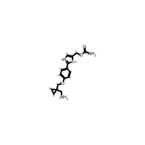 NCC1(COc2ccc(-c3ncc(COC(N)=O)s3)cc2)CC1